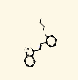 OCCOc1ccccc1/C=C/c1n[nH]c2ccccc12